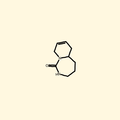 O=C1NCCCC2CC=CCN12